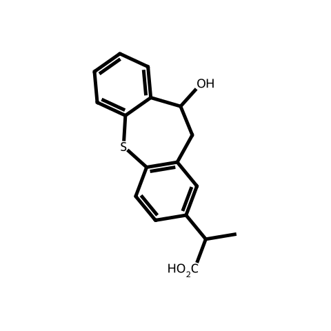 CC(C(=O)O)c1ccc2c(c1)CC(O)c1ccccc1S2